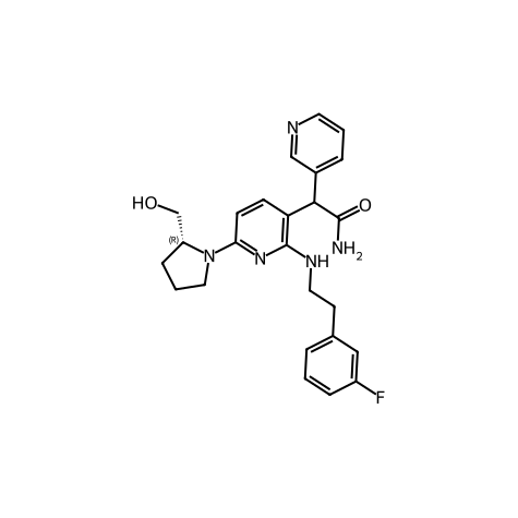 NC(=O)C(c1cccnc1)c1ccc(N2CCC[C@@H]2CO)nc1NCCc1cccc(F)c1